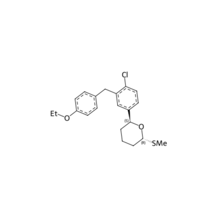 CCOc1ccc(Cc2cc([C@@H]3CCC[C@@H](SC)O3)ccc2Cl)cc1